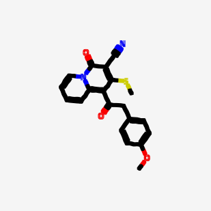 COc1ccc(CC(=O)c2c(SC)c(C#N)c(=O)n3ccccc23)cc1